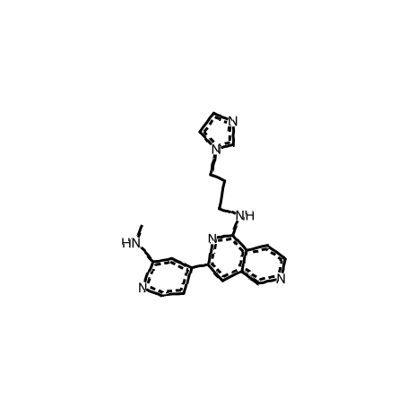 CNc1cc(-c2cc3cnccc3c(NCCCn3ccnc3)n2)ccn1